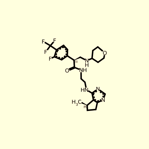 C[C@@H]1CCc2ncnc(NCCNC(=O)[C@H](CNC3CCOCC3)c3ccc(C(F)(F)F)c(F)c3)c21